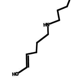 CCCCNCCCC=CO